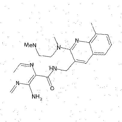 C=N/C(N)=C(\N=C/C)C(=O)NCc1cc2cccc(C)c2nc1N(C)CCNC